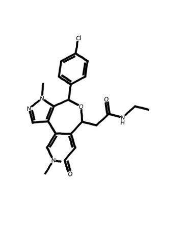 CCNC(=O)CC1OC(c2ccc(Cl)cc2)c2c(cnn2C)C(=C/N(C)C)/C1=C\C=O